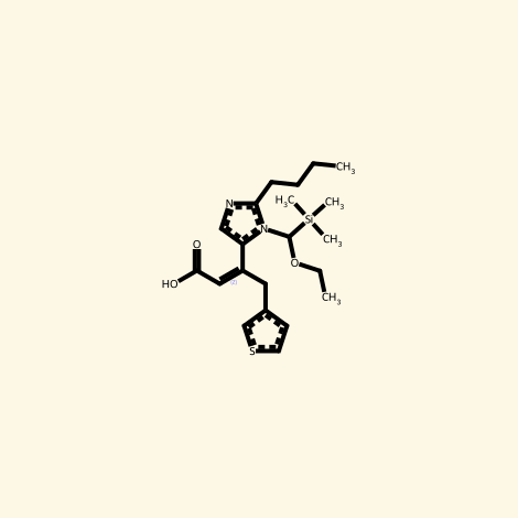 CCCCc1ncc(/C(=C\C(=O)O)Cc2ccsc2)n1C(OCC)[Si](C)(C)C